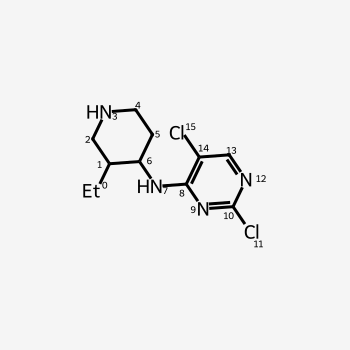 CCC1CNCCC1Nc1nc(Cl)ncc1Cl